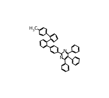 Cc1ccc(-c2ccccc2-c2ccccc2-c2ccc(-c3nc(-c4ccccc4)c(-c4ccccc4)c(-c4ccccc4)n3)cc2)cc1